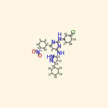 O=[N+]([O-])c1cccc(-c2cc(Nc3cc(-c4ccccc4)n[nH]3)nc(Nc3cccc(Cl)c3)n2)c1